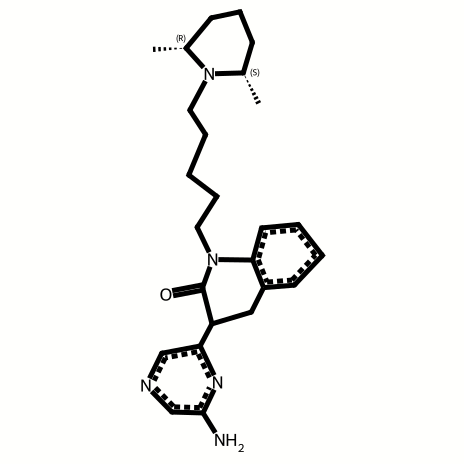 C[C@@H]1CCC[C@H](C)N1CCCCCN1C(=O)C(c2cncc(N)n2)Cc2ccccc21